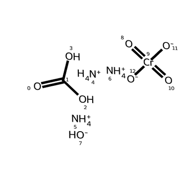 O=C(O)O.[NH4+].[NH4+].[NH4+].[OH-].[O]=[Cr](=[O])([O-])[O-]